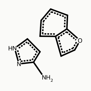 Nc1cc[nH]n1.c1ccc2occc2c1